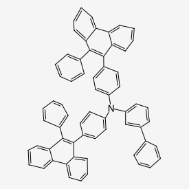 c1ccc(-c2cccc(N(c3ccc(-c4c(-c5ccccc5)c5ccccc5c5ccccc45)cc3)c3ccc(-c4c(-c5ccccc5)c5ccccc5c5ccccc45)cc3)c2)cc1